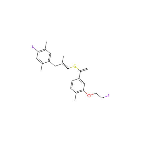 C=C(S/C=C(\C)Cc1cc(C)c(I)cc1C)c1ccc(C)c(OCCI)c1